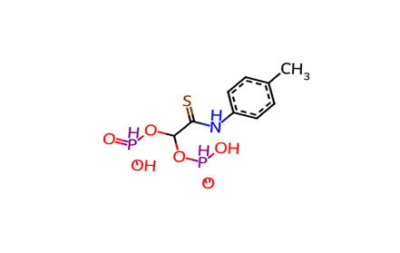 Cc1ccc(NC(=S)C(O[PH](=O)O)O[PH](=O)O)cc1